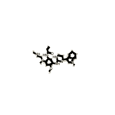 C=CC(=O)Nc1cc(NC2N=C(c3cn(C)c4ccccc34)C=CN2)c(OC)cc1N(C)CCNC